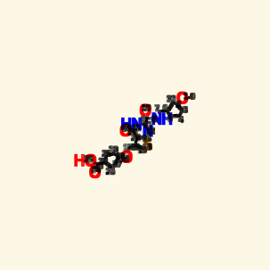 COc1cccc(CNC(=O)c2nc3scc(COc4ccc(C(=O)O)cc4)c3c(=O)[nH]2)c1